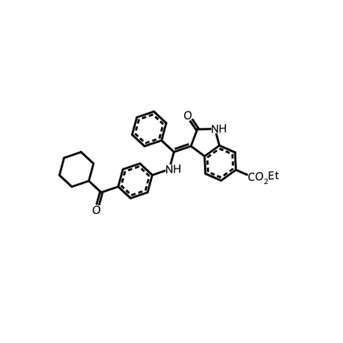 CCOC(=O)c1ccc2c(c1)NC(=O)/C2=C(/Nc1ccc(C(=O)C2CCCCC2)cc1)c1ccccc1